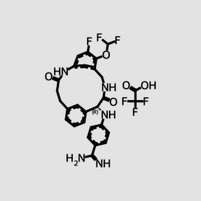 N=C(N)c1ccc(N[C@H]2C(=O)NCc3cc(cc(F)c3OC(F)F)NC(=O)CCc3cccc2c3)cc1.O=C(O)C(F)(F)F